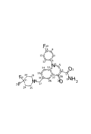 NC(=O)c1cn(-c2ccc(F)cc2)c2ccc(CN3CCC(F)(F)CC3)cc2c1=O